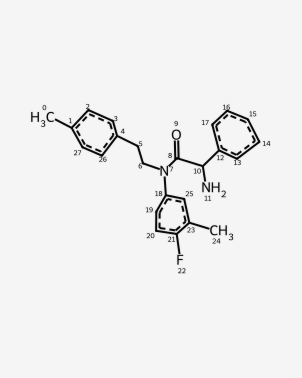 Cc1ccc(CCN(C(=O)C(N)c2ccccc2)c2ccc(F)c(C)c2)cc1